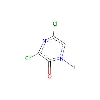 O=c1c(Cl)nc(Cl)cn1I